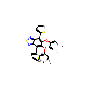 C=C/C(=C\C)Oc1c(O/C(C=C)=C/C)c(-c2cccs2)c2nsnc2c1-c1cccs1